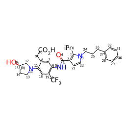 CC(C)c1c(C(=O)Nc2cc(CC(=O)O)c(N3CC[C@@H](O)C3)cc2C(F)(F)F)ccn1CCCc1ccccc1